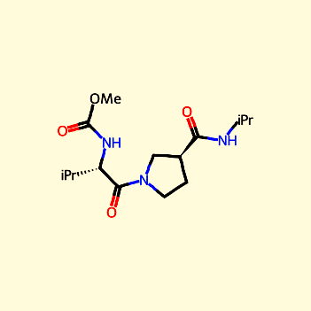 COC(=O)N[C@H](C(=O)N1CC[C@H](C(=O)NC(C)C)C1)C(C)C